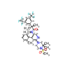 Cc1ccccc1-c1cc(N2CCN(S(C)(=O)=O)C(C)(C)C2)ncc1N(C)C(=O)C(C)(C)c1cc(C(F)(F)F)cc(C(F)(F)F)c1